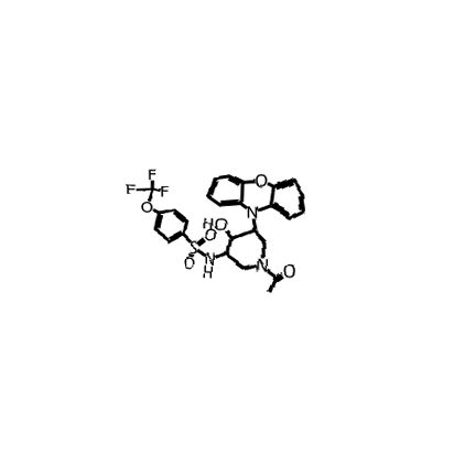 CC(=O)N1CC(NS(=O)(=O)c2ccc(OC(F)(F)F)cc2)C(O)C(N2c3ccccc3Oc3ccccc32)C1